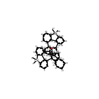 C[Si]1(C)c2cccc(-c3ccccc3)c2-c2c(-c3nc(-c4ccccc4)nc(-c4cccc5c4-c4c(-c6ccccc6)cccc4[Si]5(C)C)n3)cccc21